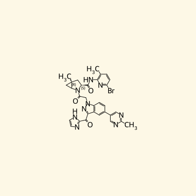 Cc1ncc(-c2ccc3c(c2)c(C(=O)c2ncc[nH]2)nn3CC(=O)N2C3C[C@]3(C)C[C@H]2C(=O)Nc2nc(Br)ccc2C)cn1